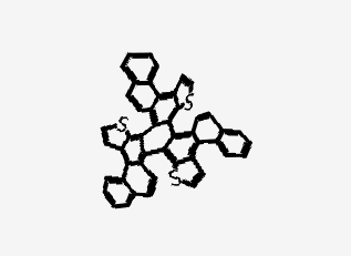 c1ccc2c(c1)ccc1c2c2ccsc2c2c1c1c3sccc3c3c4ccccc4ccc3c1c1c3sccc3c3c4ccccc4ccc3c21